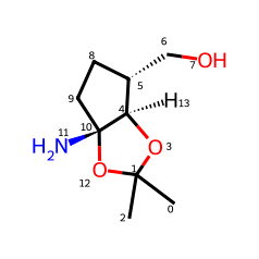 CC1(C)O[C@@H]2[C@@H](CO)CC[C@@]2(N)O1